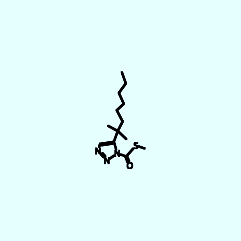 CCCCCCC(C)(C)c1cnnn1C(=O)SC